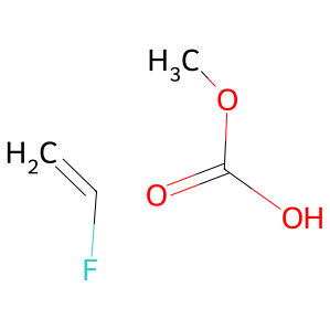 C=CF.COC(=O)O